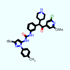 COc1cc(C(=O)C(c2cccc(NC(=O)Nc3cc(C(C)(C)C)nn3-c3ccc(C)cc3)c2)C2CCNCC2)cc(Cl)n1